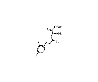 CCC(CCc1ccc(C)cc1C)CC(N)C(=O)OC